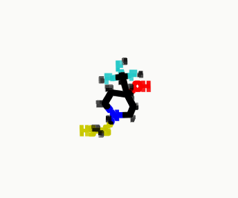 OC1(C(F)(F)F)CCN(SS)CC1